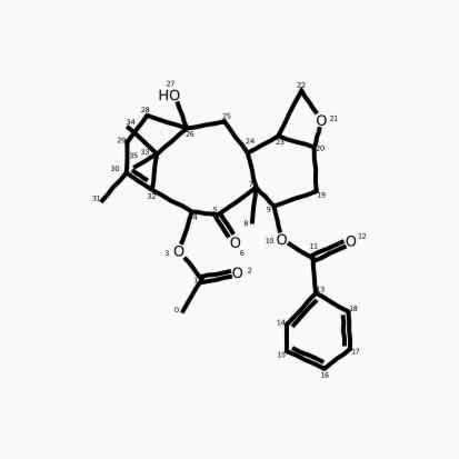 CC(=O)OC1C(=O)C2(C)C(OC(=O)c3ccccc3)CC3OCC3C2CC2(O)CCC(C)=C1C2(C)C